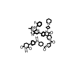 CC(C)n1cnc2cc(-c3ccc4c(c3)N([C@H]3C[C@@H](N5CCCCC5)C3)C(=O)C43CCN(C(=O)[C@@H]4CCN(C(=O)[C@H]5CC[C@H](Nc6ccc(C7CCC(=O)NC7=O)cc6)CC5)C4)CC3)nc(Nc3ccccc3F)c21